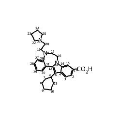 O=C(O)c1ccc2c(C3CCCCC3)c3n(c2c1)CCN(CCN1CCCC1)c1ccccc1-3